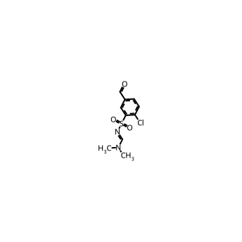 CN(C)C=NS(=O)(=O)c1cc(C=O)ccc1Cl